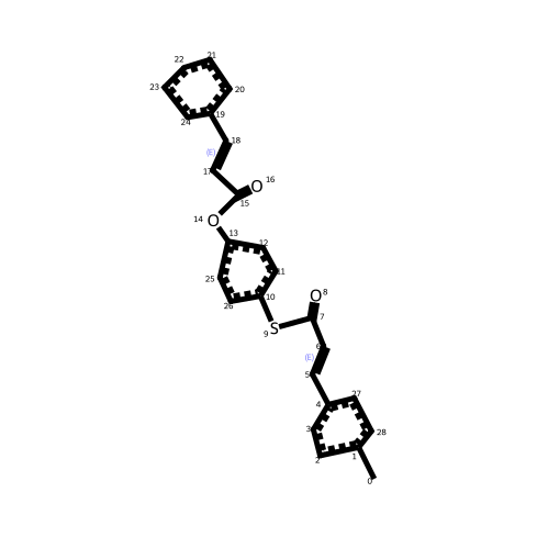 Cc1ccc(/C=C/C(=O)Sc2ccc(OC(=O)/C=C/c3ccccc3)cc2)cc1